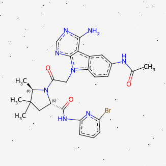 CC(=O)Nc1ccc2c(c1)c1c(N)ncnc1n2CC(=O)N1[C@H](C(=O)Nc2cccc(Br)n2)CC(C)(C)[C@H]1C